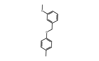 COc1cccc(COc2ccc(C)cc2)c1